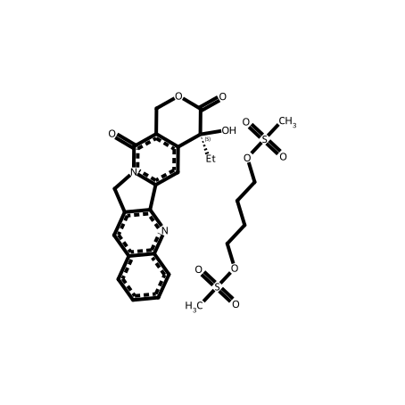 CC[C@@]1(O)C(=O)OCc2c1cc1n(c2=O)Cc2cc3ccccc3nc2-1.CS(=O)(=O)OCCCCOS(C)(=O)=O